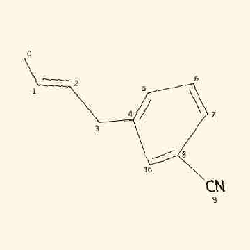 CC=CCc1cccc(C#N)c1